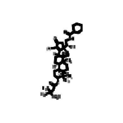 CC(C)C1=C2[C@H]3CC[C@@H]4[C@@]5(C)CC[C@H](OC(=O)CC(C)(C)C(=O)O)C(C)(C)[C@H]5CC[C@@]4(C)[C@]3(C)CC[C@@]2([C@@H](O)CNC(=O)C2CCCCC2)CC1=O